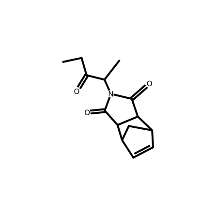 CCC(=O)C(C)N1C(=O)C2C3C=CC(C3)C2C1=O